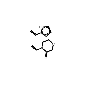 C=CN1CCOCC1=O.C=Cc1ncc[nH]1